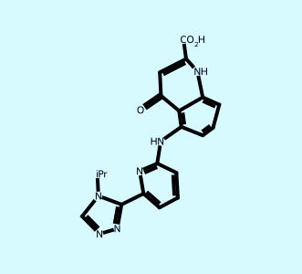 CC(C)n1cnnc1-c1cccc(Nc2cccc3[nH]c(C(=O)O)cc(=O)c23)n1